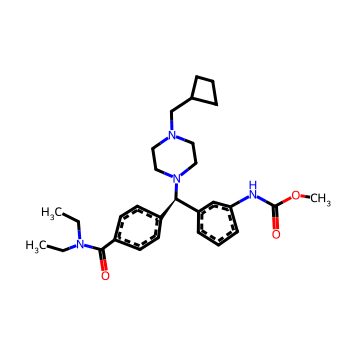 CCN(CC)C(=O)c1ccc([C@H](c2cccc(NC(=O)OC)c2)N2CCN(CC3CCC3)CC2)cc1